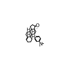 CN(C)c1ccc([C@H]2C[C@]3(C)C(=O)CC[C@H]3[C@@H]3CCC4=CCCC[C@@H]4[C@H]32)cc1